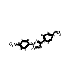 O=[N+]([O-])c1ccc(-c2nnn(-c3ccc([N+](=O)[O-])cc3)n2)cc1